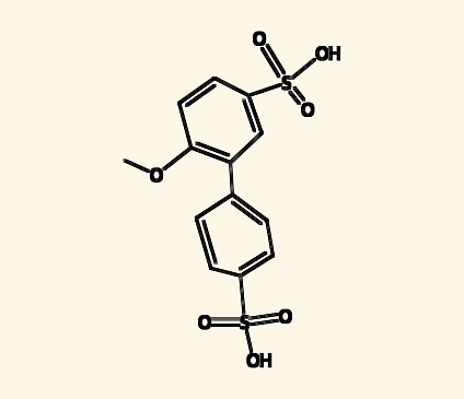 COc1ccc(S(=O)(=O)O)cc1-c1ccc(S(=O)(=O)O)cc1